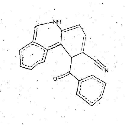 N#CC1=CC=C2NC=c3ccccc3=C2C1C(=O)c1ccccc1